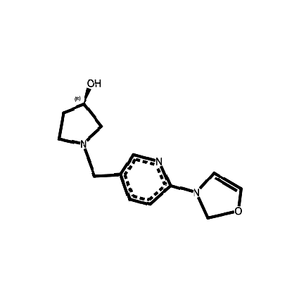 O[C@@H]1CCN(Cc2ccc(N3C=COC3)nc2)C1